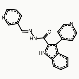 O=C(NN=Cc1cccnc1)c1[nH]c2ccccc2c1-c1ccncc1